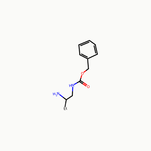 CCC(N)CNC(=O)OCc1ccccc1